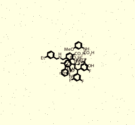 CCCN(CCC)C(=O)c1cc(C)cc(C(=O)O)c1[C@@](CN[C@@H](C)CO)([C@@H](N)C(c1cc(F)cc(F)c1)c1cc(F)cc(F)c1)N(CCC)c1c(C(=O)O)ccc(CNCc2cccc(CC)c2)c1OCc1ccccc1.COc1cccc(NC(=O)O)c1